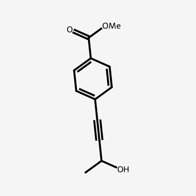 COC(=O)c1ccc(C#CC(C)O)cc1